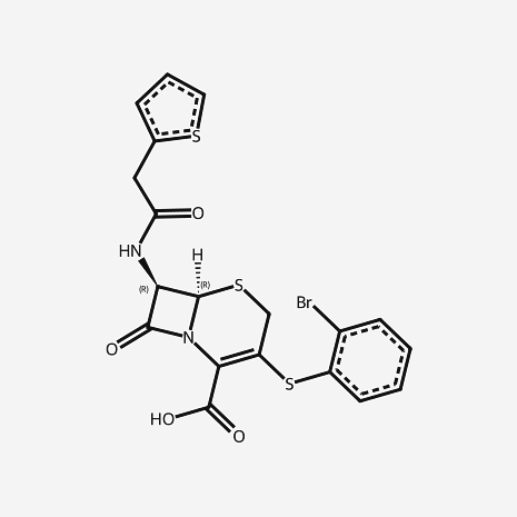 O=C(Cc1cccs1)N[C@@H]1C(=O)N2C(C(=O)O)=C(Sc3ccccc3Br)CS[C@H]12